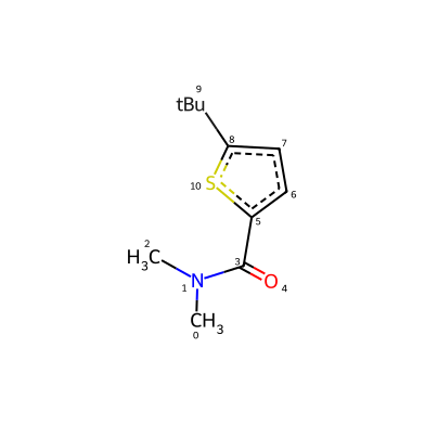 CN(C)C(=O)c1ccc(C(C)(C)C)s1